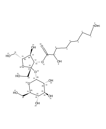 CCCCCCCCCCCCCCCCC(O)C(=O)O[C@H]1[C@H](O)[C@@H](CO)O[C@@]1(CO)O[C@H]1O[C@H](CO)[C@@H](O)[C@H](O)[C@H]1O